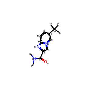 CN(C)C(=O)c1cn2cc(C(C)(C)C)ccc2n1